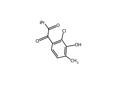 Cc1ccc(C(=O)C(=O)C(C)C)c(Cl)c1O